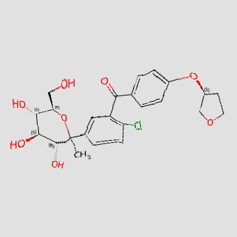 CC1(c2ccc(Cl)c(C(=O)c3ccc(O[C@H]4CCOC4)cc3)c2)O[C@H](CO)[C@@H](O)[C@H](O)[C@H]1O